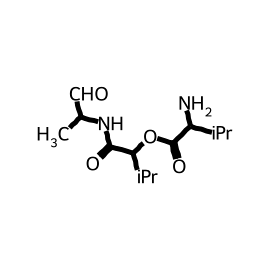 CC(C=O)NC(=O)C(OC(=O)C(N)C(C)C)C(C)C